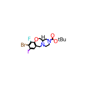 CC(C)(C)OC(=O)N1CCN2Cc3cc(I)c(Br)c(F)c3OC[C@H]2C1